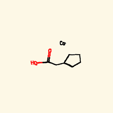 O=C(O)CC1CCCC1.[Co]